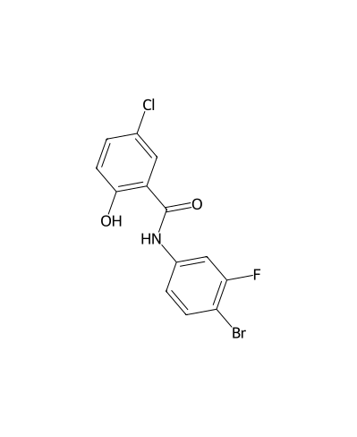 O=C(Nc1ccc(Br)c(F)c1)c1cc(Cl)ccc1O